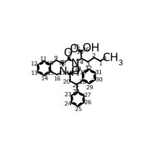 CCCCC(NC(=O)[C@@H]1Cc2ccccc2CN1C(=O)CC(c1ccccc1)c1ccccc1)C(=O)O